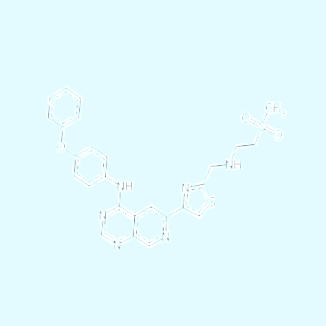 CS(=O)(=O)CCNCc1nc(-c2cc3c(Nc4ccc(Oc5ccccc5)cc4)ncnc3cn2)cs1